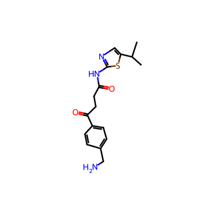 CC(C)c1cnc(NC(=O)CCC(=O)c2ccc(CN)cc2)s1